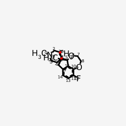 CN1CCC(C23OCCOc4c(F)ccc(c42)CC3(C)C)CC1